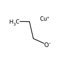 CCC[O-].[Cu+]